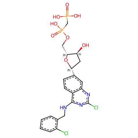 O=P(O)(O)CP(=O)(O)OC[C@H]1O[C@@H](c2ccc3c(NCc4ccccc4Cl)nc(Cl)nc3c2)C[C@@H]1O